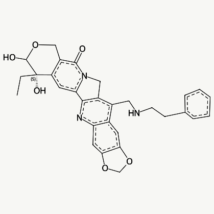 CC[C@]1(O)c2cc3n(c(=O)c2COC1O)Cc1c-3nc2cc3c(cc2c1CNCCc1ccccc1)OCO3